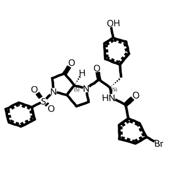 O=C(N[C@@H](Cc1ccc(O)cc1)C(=O)N1CCC2[C@H]1C(=O)CN2S(=O)(=O)c1ccccc1)c1cccc(Br)c1